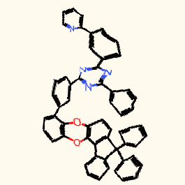 c1ccc(-c2nc(-c3cccc(-c4ccccn4)c3)nc(-c3cccc(-c4cccc5c4Oc4ccc6c(c4O5)-c4ccccc4C6(c4ccccc4)c4ccccc4)c3)n2)cc1